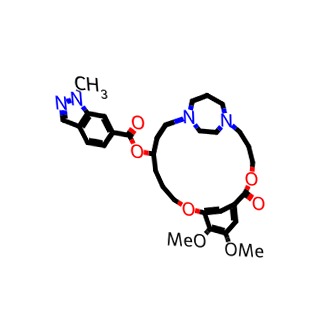 COc1cc2cc(c1OC)OCCCC(OC(=O)c1ccc3cnn(C)c3c1)CCN1CCCN(CCCOC2=O)CC1